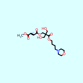 COC(=O)/C=C/C(=O)OCC(CO)(CO)C(=O)OCCCCN1CCOCC1